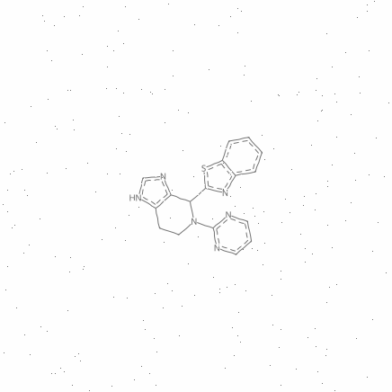 c1cnc(N2CCc3[nH]cnc3C2c2nc3ccccc3s2)nc1